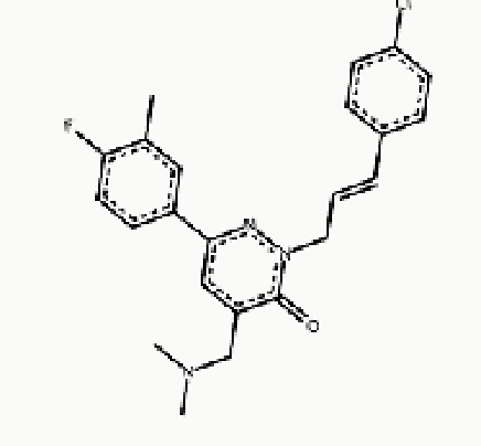 Cc1cc(-c2cc(CN(C)C)c(=O)n(CC=Cc3ccc(Cl)cc3)n2)ccc1F